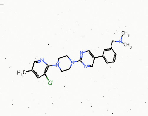 Cc1cnc(N2CCN(c3ncc(-c4cccc(CN(C)C)c4)cn3)CC2)c(Cl)c1